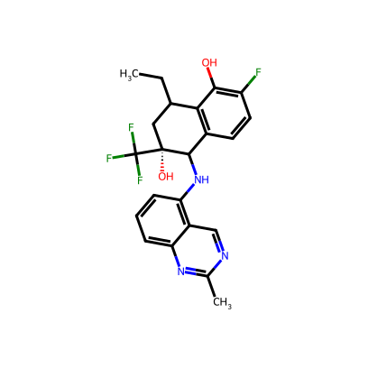 CCC1C[C@](O)(C(F)(F)F)C(Nc2cccc3nc(C)ncc23)c2ccc(F)c(O)c21